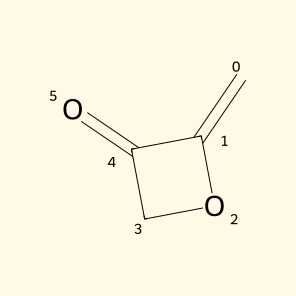 C=C1OCC1=O